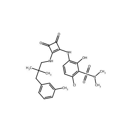 Cc1cccc(CC(C)(C)CNc2c(Nc3ccc(Cl)c(S(=O)(=O)N(C)C)c3O)c(=O)c2=O)c1